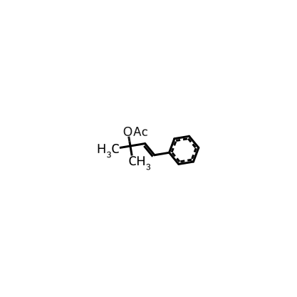 CC(=O)OC(C)(C)C=Cc1ccccc1